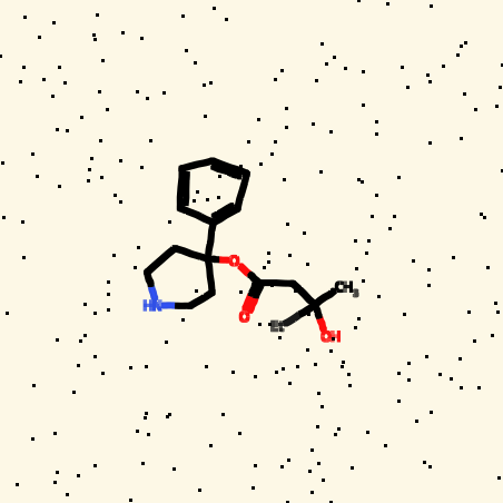 CCC(C)(O)CC(=O)OC1(c2ccccc2)CCNCC1